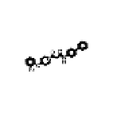 O=C(CC(=O)N1CCC(Oc2ccccc2Br)CC1)Nc1ccc(-c2ccccc2)cc1